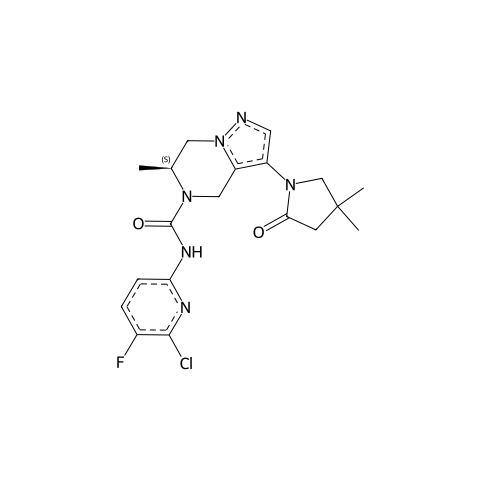 C[C@H]1Cn2ncc(N3CC(C)(C)CC3=O)c2CN1C(=O)Nc1ccc(F)c(Cl)n1